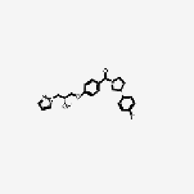 O=C(c1ccc(OC[C@H](O)Cn2cccn2)cc1)N1CC[C@H](c2ccc(F)cc2)C1